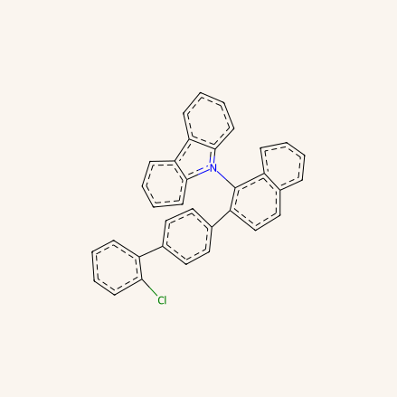 Clc1ccccc1-c1ccc(-c2ccc3ccccc3c2-n2c3ccccc3c3ccccc32)cc1